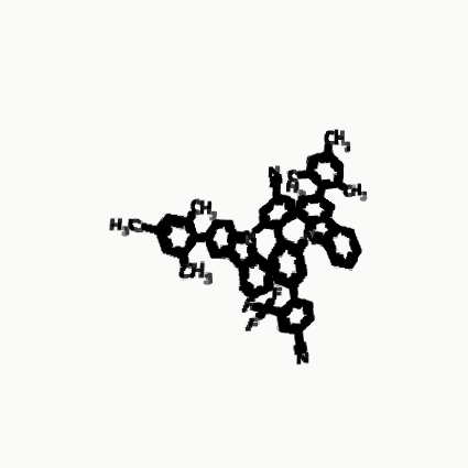 Cc1cc(C)c(-c2ccc3c(c2)c2ccccc2n3-c2cc(C#N)ccc2-c2ccc(-c3ccc(C#N)cc3C(F)(F)F)cc2-n2c3ccccc3c3cc(-c4c(C)cc(C)cc4C)ccc32)c(C)c1